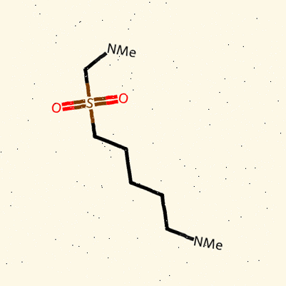 CNCCCCCS(=O)(=O)CNC